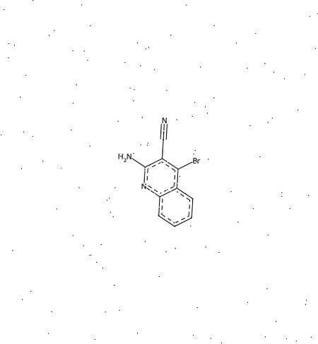 N#Cc1c(N)nc2ccccc2c1Br